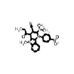 CCC(=O)C1C(C#N)=C(N(C)C)N(c2ccc([N+](=O)[O-])cc2)c2c1n(C)c1ccccc21